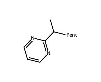 CCCC(C)C(C)c1ncccn1